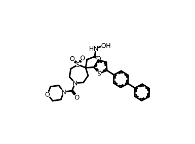 O=C(CC1(c2ccc(-c3ccc(-c4ccccc4)cc3)s2)CCN(C(=O)N2CCOCC2)CCS1(=O)=O)NO